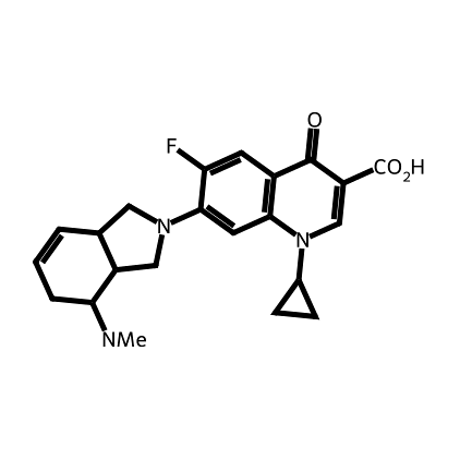 CNC1CC=CC2CN(c3cc4c(cc3F)c(=O)c(C(=O)O)cn4C3CC3)CC21